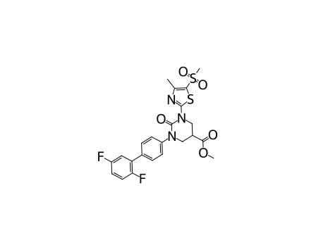 COC(=O)C1CN(c2ccc(-c3cc(F)ccc3F)cc2)C(=O)N(c2nc(C)c(S(C)(=O)=O)s2)C1